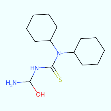 NC(O)NC(=S)N(C1CCCCC1)C1CCCCC1